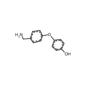 NCc1ccc(Oc2ccc(O)cc2)cc1